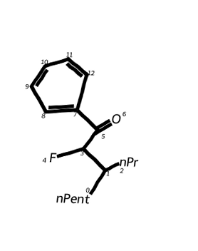 CCCCCC(CCC)C(F)C(=O)c1ccccc1